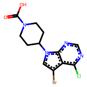 O=C(O)N1CCC(n2cc(Br)c3c(Cl)ncnc32)CC1